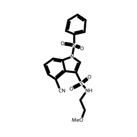 COCCNS(=O)(=O)c1cn(S(=O)(=O)c2ccccc2)c2cccc(C#N)c12